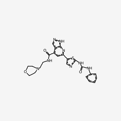 O=C(Nc1ccccc1)Nc1ncc(-c2cc(C(=O)NCCN3CCOCC3)c3cn[nH]c3n2)s1